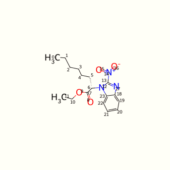 CCCCCC[C@@H](C(=O)OCC)n1c([N+](=O)[O-])nc2ccccc21